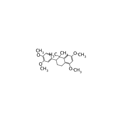 COc1cc(OC)c2c(c1)C(C)(C)C(c1ccc(OC)c(OC)c1)CC2